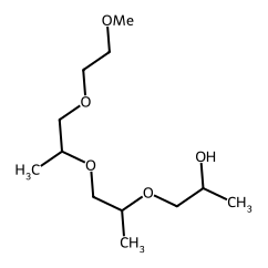 COCCOCC(C)OCC(C)OCC(C)O